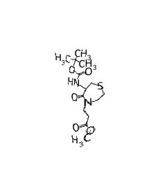 COC(=O)CCN1CCSCC(NC(=O)OC(C)(C)C)C1=O